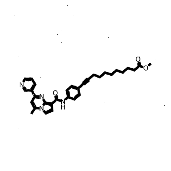 COC(=O)CCCCCCCCC#Cc1ccc(NC(=O)c2ccn3c(C)cc(-c4cccnc4)nc23)cc1